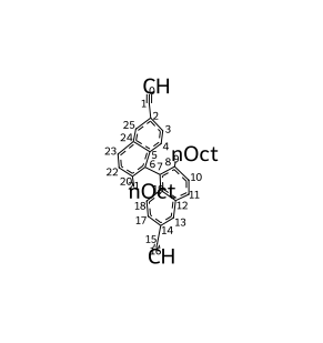 C#Cc1ccc2c(-c3c(CCCCCCCC)ccc4cc(C#C)ccc34)c(CCCCCCCC)ccc2c1